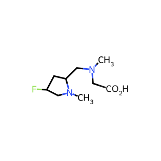 CN(CC(=O)O)CC1CC(F)CN1C